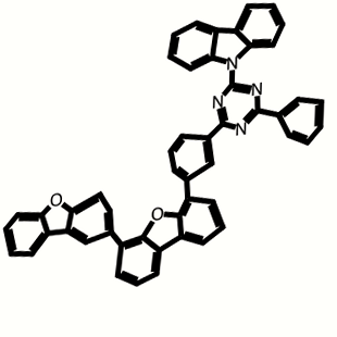 c1ccc(-c2nc(-c3cccc(-c4cccc5c4oc4c(-c6ccc7oc8ccccc8c7c6)cccc45)c3)nc(-n3c4ccccc4c4ccccc43)n2)cc1